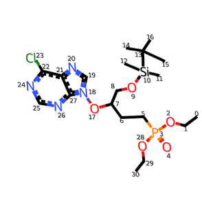 CCOP(=O)(CCC(CO[Si](C)(C)C(C)(C)C)On1cnc2c(Cl)ncnc21)OCC